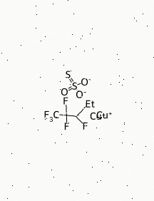 CCC(F)C(F)(F)C(F)(F)F.O=S([O-])([O-])=S.[Cu+].[Cu+]